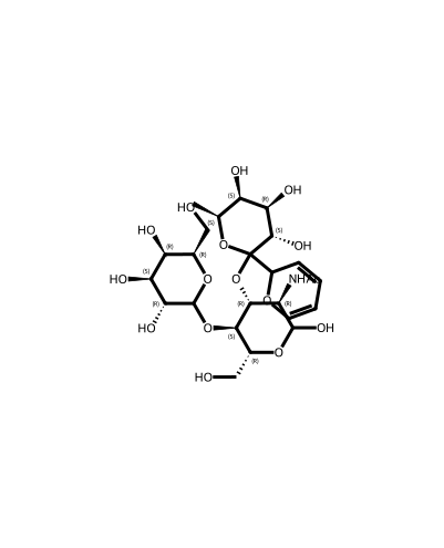 CC(=O)N[C@H]1C(O)O[C@H](CO)[C@@H](OC2O[C@H](CO)[C@H](O)[C@H](O)[C@H]2O)[C@@H]1OC1(C2C=CC=CO2)O[C@@H](C)[C@@H](O)[C@@H](O)[C@@H]1O